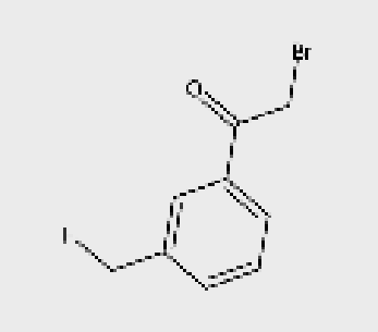 O=C(CBr)c1cccc(CF)c1